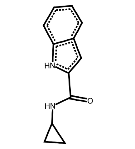 O=C(NC1CC1)c1cc2ccccc2[nH]1